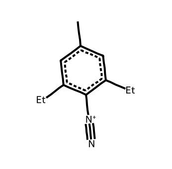 CCc1cc(C)cc(CC)c1[N+]#N